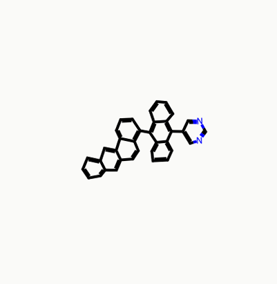 c1ccc2cc3c(ccc4c(-c5c6ccccc6c(-c6cncnc6)c6ccccc56)cccc43)cc2c1